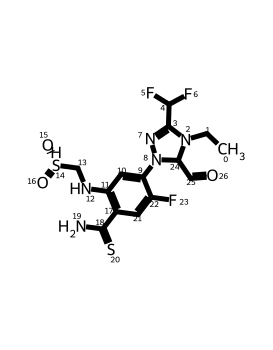 CCN1C(C(F)F)=NN(c2cc(NC[SH](=O)=O)c(C(N)=S)cc2F)C1C=O